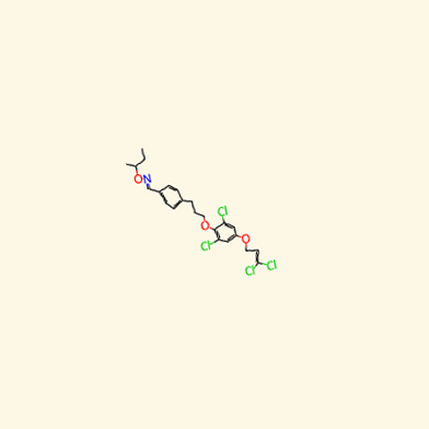 CCC(C)ON=Cc1ccc(CCCOc2c(Cl)cc(OCC=C(Cl)Cl)cc2Cl)cc1